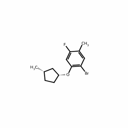 Cc1cc(Br)c(O[C@@H]2CC[C@H](C)C2)cc1F